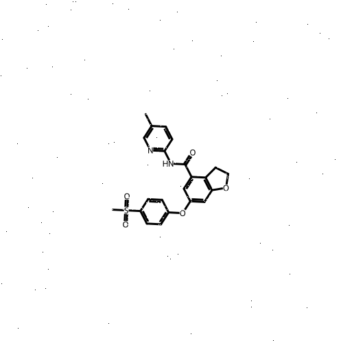 Cc1ccc(NC(=O)c2cc(Oc3ccc(S(C)(=O)=O)cc3)cc3c2CCO3)nc1